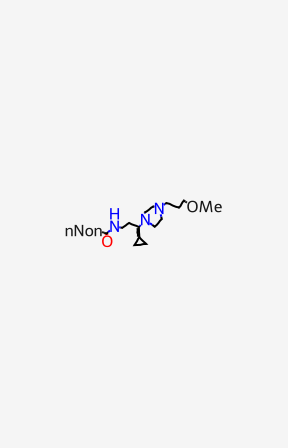 CCCCCCCCCC(=O)NCCC(=C1CC1)N1CCN(CCCOC)CC1